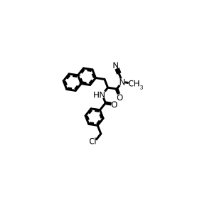 CN(C#N)C(=O)C(Cc1ccc2ccccc2c1)NC(=O)c1cccc(CCl)c1